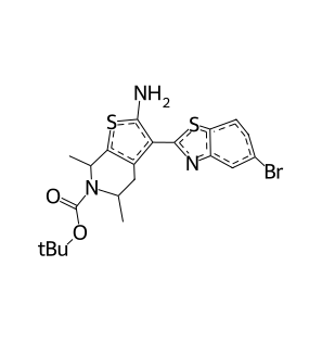 CC1Cc2c(sc(N)c2-c2nc3cc(Br)ccc3s2)C(C)N1C(=O)OC(C)(C)C